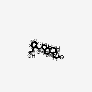 C[C@]12C=CC(=O)N[C@@H]1CC[C@@H]1[C@@H]2CC[C@]2(C)[C@@H](C(=O)c3ccccc3CCO)CC[C@@H]12